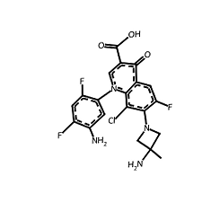 CC1(N)CN(c2c(F)cc3c(=O)c(C(=O)O)cn(-c4cc(N)c(F)cc4F)c3c2Cl)C1